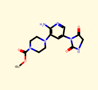 CC(C)(C)OC(=O)N1CCN(c2cc(N3C(=O)CNC3=O)cnc2N)CC1